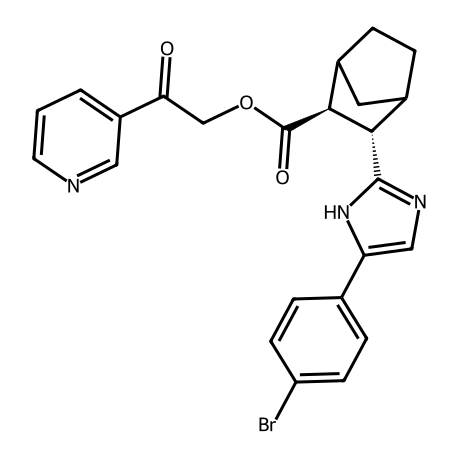 O=C(COC(=O)[C@H]1C2CCC(C2)[C@@H]1c1ncc(-c2ccc(Br)cc2)[nH]1)c1cccnc1